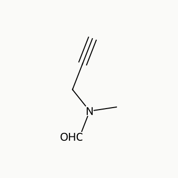 C#CCN(C)C=O